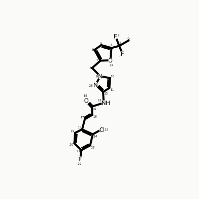 CC(F)(F)c1ccc(Cn2ccc(NC(=O)C=Cc3ccc(F)cc3Cl)n2)o1